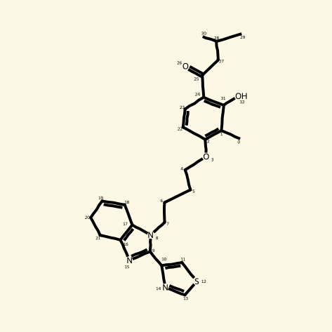 Cc1c(OCCCCn2c(-c3cscn3)nc3c2C=CCC3)ccc(C(=O)CC(C)C)c1O